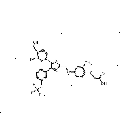 COc1ccc(-c2nc(COc3ccc(OCC(=O)O)c(C)c3)sc2-c2cccc(OC(F)(F)F)c2)cc1F